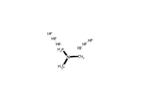 CN(C)P.F.F.F.F.F.F